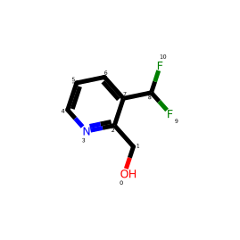 OCc1nc[c]cc1C(F)F